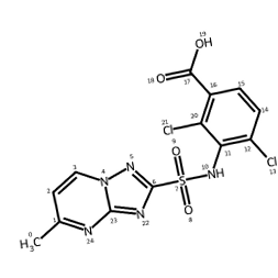 Cc1ccn2nc(S(=O)(=O)Nc3c(Cl)ccc(C(=O)O)c3Cl)nc2n1